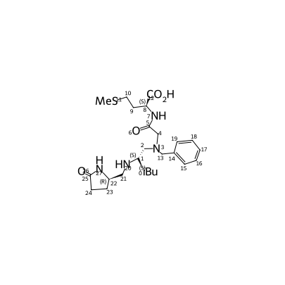 CC[C@H](C)[C@@H](CN(CC(=O)N[C@@H](CCSC)C(=O)O)Cc1ccccc1)NC[C@H]1CCC(=O)N1